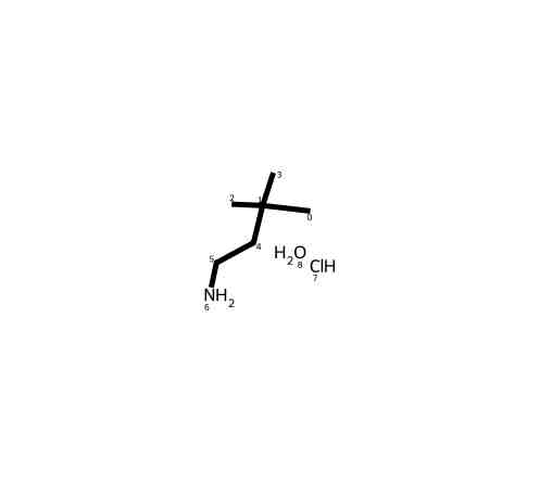 CC(C)(C)CCN.Cl.O